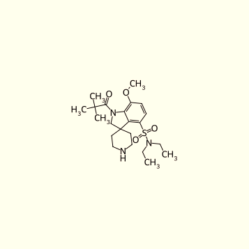 CCN(CC)S(=O)(=O)c1ccc(OC)c2c1C1(CCNCC1)CN2C(=O)C(C)(C)C